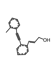 Cc1ccccc1C#Cc1ccccc1/C=C/CO